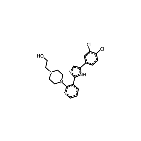 OCCN1CCN(c2ncccc2-c2ncc(-c3ccc(Cl)c(Cl)c3)[nH]2)CC1